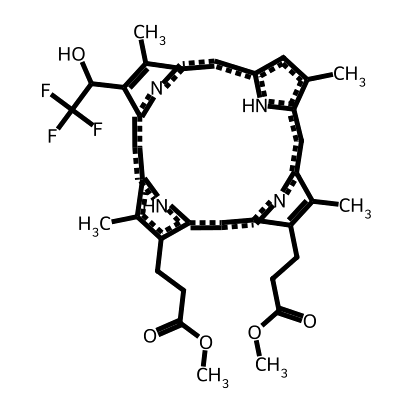 COC(=O)CCC1=C(C)c2cc3[nH]c(cc4nc(cc5[nH]c(cc1n2)c(CCC(=O)OC)c5C)C(C(O)C(F)(F)F)=C4C)cc3C